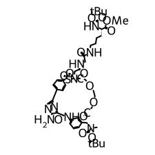 COC(=O)[C@H](CCCCNC(=O)CNC(=O)CN1CCOCCOCCOc2c(CN(C)C(=O)OC(C)(C)C)cccc2NC(=O)c2nc(cnc2N)-c2ccc(cc2)S1(=O)=O)NC(=O)OC(C)(C)C